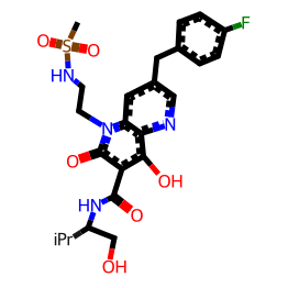 CC(C)C(CO)NC(=O)c1c(O)c2ncc(Cc3ccc(F)cc3)cc2n(CCNS(C)(=O)=O)c1=O